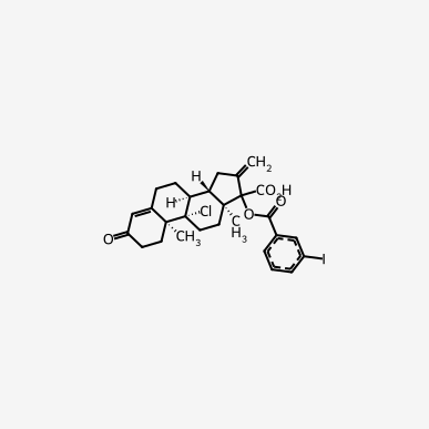 C=C1C[C@H]2[C@@H]3CCC4=CC(=O)CC[C@]4(C)[C@]3(Cl)CC[C@]2(C)C1(OC(=O)c1cccc(I)c1)C(=O)O